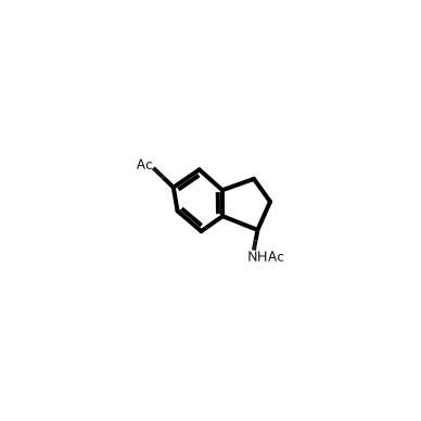 CC(=O)NC1CCc2cc(C(C)=O)ccc21